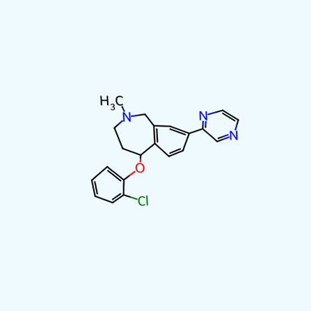 CN1CCC(Oc2ccccc2Cl)c2ccc(-c3cnccn3)cc2C1